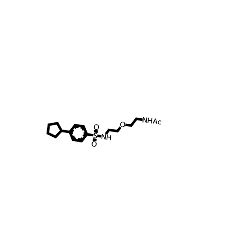 CC(=O)NCCOCCNS(=O)(=O)c1ccc(C2CCCC2)cc1